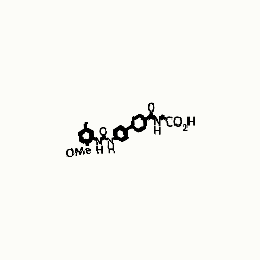 COc1ccc(C)cc1NC(=O)Nc1ccc(C2CCC(C(=O)NCC(=O)O)CC2)cc1